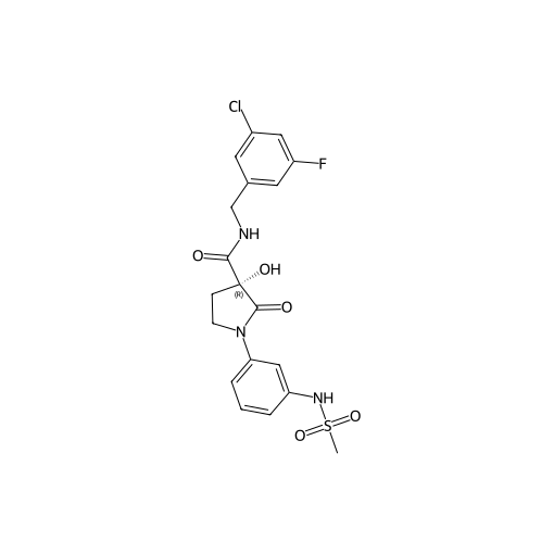 CS(=O)(=O)Nc1cccc(N2CC[C@@](O)(C(=O)NCc3cc(F)cc(Cl)c3)C2=O)c1